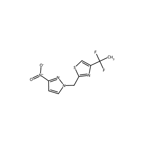 CC(F)(F)c1csc(Cn2ccc([N+](=O)[O-])n2)n1